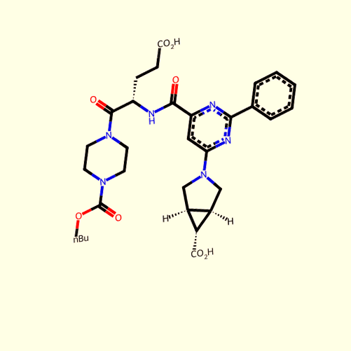 CCCCOC(=O)N1CCN(C(=O)[C@H](CCC(=O)O)NC(=O)c2cc(N3C[C@@H]4[C@H](C3)[C@H]4C(=O)O)nc(-c3ccccc3)n2)CC1